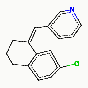 Clc1ccc2c(c1)/C(=C\c1cccnc1)CCC2